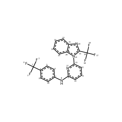 FC(F)(F)c1ccc(Nc2cccc(-n3c(C(F)(F)F)nc4ccccc43)n2)cc1